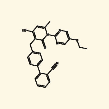 CCOc1cnc(-n2c(C)cc(O)c(Cc3ccc(-c4ccccc4C#N)cc3)c2=O)nc1